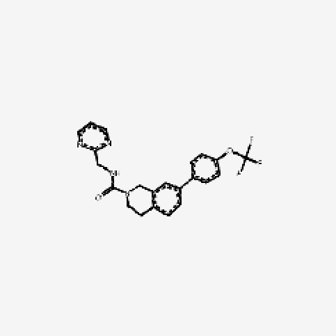 O=C(NCc1ncccn1)N1CCc2ccc(-c3ccc(OC(F)(F)F)cc3)cc2C1